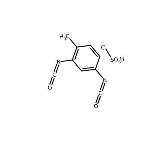 Cc1ccc(N=C=O)cc1N=C=O.O=S(=O)(O)Cl